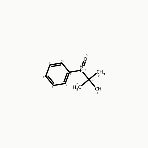 CC(C)(C)[PH](=O)c1ccccc1